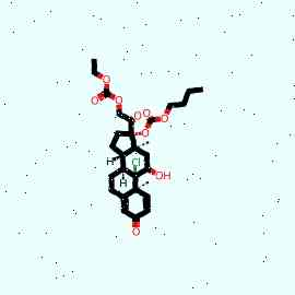 CCCCOC(=O)O[C@]1(C(=O)COC(=O)OCC)CC[C@H]2[C@@H]3CCC4=CC(=O)C=C[C@]4(C)[C@@]3(Cl)C(O)C[C@@]21C